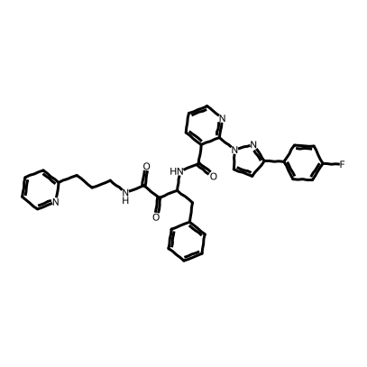 O=C(NCCCc1ccccn1)C(=O)C(Cc1ccccc1)NC(=O)c1cccnc1-n1ccc(-c2ccc(F)cc2)n1